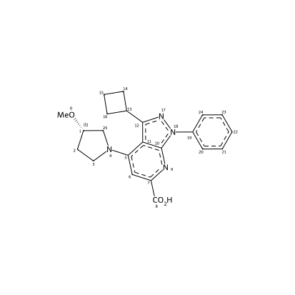 CO[C@H]1CCN(c2cc(C(=O)O)nc3c2c(C2CCC2)nn3-c2ccccc2)C1